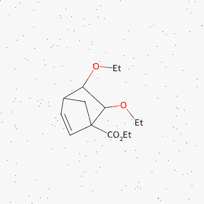 CCOC(=O)C12C=CC(C1)C(OCC)C2OCC